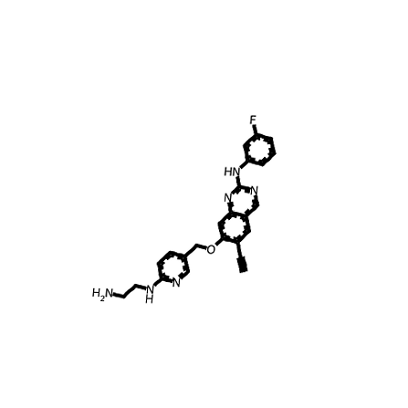 C#Cc1cc2cnc(Nc3cccc(F)c3)nc2cc1OCc1ccc(NCCN)nc1